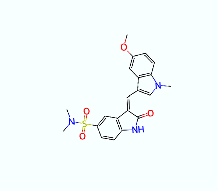 COc1ccc2c(c1)c(C=C1C(=O)Nc3ccc(S(=O)(=O)N(C)C)cc31)cn2C